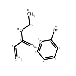 Brc1ccccn1.C=CC(=O)OCC